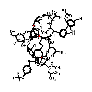 CN[C@H](CC(C)C)C(=O)N[C@H]1C(=O)NC(CC(N)=O)C(=O)NC2C(=O)NC3C(=O)N[C@H](C(=O)N[C@@H](C(=O)O)c4cc(O)cc(O)c4-c4cc3ccc4O)[C@H](O)c3ccc(c(Cl)c3)Oc3cc2cc(c3O[C@@H]2O[C@H](CO)[C@@H](O)[C@H](O)[C@H]2O[C@H]2C[C@](C)(NCCC3=CCN(C(=O)Nc4ccc(OC(F)(F)F)cc4)CC3)[C@H](O)[C@H](C)O2)Oc2ccc(cc2Cl)[C@H]1O